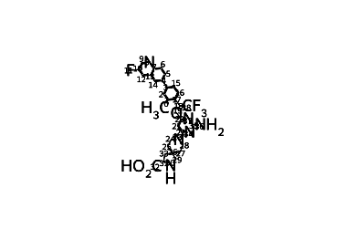 Cc1cc(-c2ccc3ncc(F)cc3c2)ccc1C(Oc1cc(N2CCC3(CC2)CN[C@H](C(=O)O)C3)nc(N)n1)C(F)(F)F